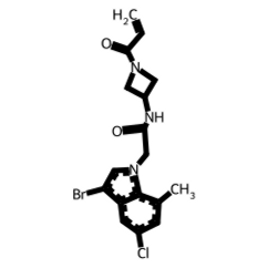 C=CC(=O)N1CC(NC(=O)Cn2cc(Br)c3cc(Cl)cc(C)c32)C1